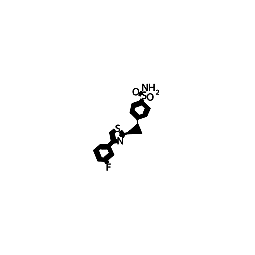 NS(=O)(=O)c1ccc([C@@H]2C[C@H]2c2nc(-c3cccc(F)c3)cs2)cc1